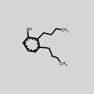 CCCCc1cccc(S)c1CCCC